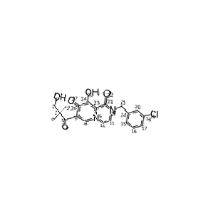 CC(C)(CO)C(=O)c1cn2ccn(Cc3cccc(Cl)c3)c(=O)c2c(O)c1=O